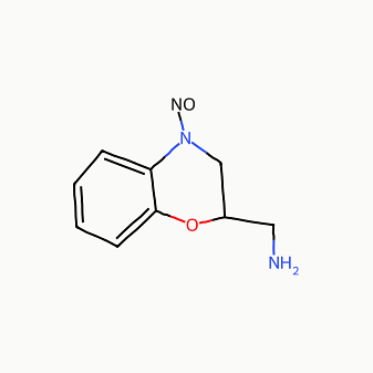 NCC1CN(N=O)c2ccccc2O1